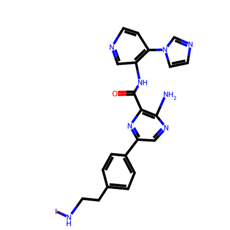 Nc1ncc(-c2ccc(CCNI)cc2)nc1C(=O)Nc1cnccc1-n1ccnc1